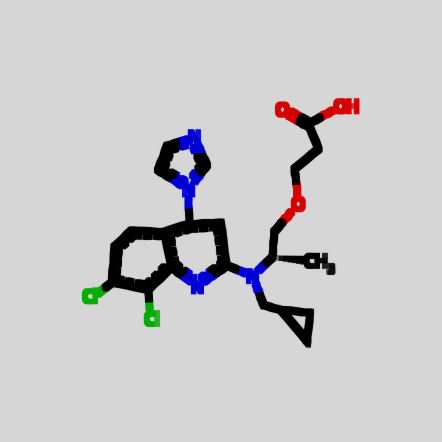 C[C@@H](COCCC(=O)O)N(CC1CC1)c1cc(-n2ccnc2)c2ccc(Cl)c(Cl)c2n1